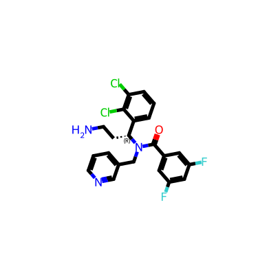 NCC[C@H](c1cccc(Cl)c1Cl)N(Cc1cccnc1)C(=O)c1cc(F)cc(F)c1